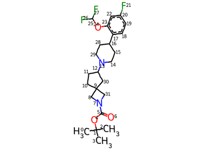 CC(C)(C)OC(=O)N1CC2(CCC(N3CCC(c4ccc(F)cc4OC(F)F)CC3)C2)C1